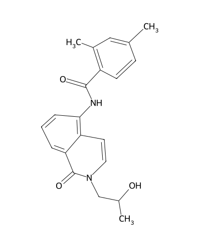 Cc1ccc(C(=O)Nc2cccc3c(=O)n(CC(C)O)ccc23)c(C)c1